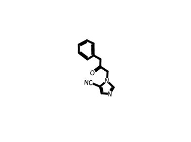 N#Cc1cncn1CC(=O)Cc1ccccc1